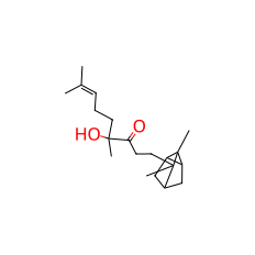 CC(C)=CCCC(C)(O)C(=O)CCC1(C)C2CC3C(C2)C31C